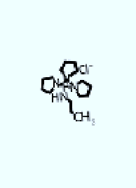 CCCN[P+](N1CCCC1)(N1CCCC1)N1CCCC1.[Cl-]